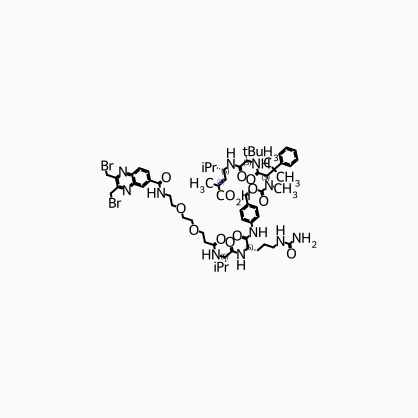 C/C(=C\[C@@H](NC(=O)[C@@H](NC(=O)[C@@H](N(C)C(=O)OCc1ccc(NC(=O)[C@H](CCCNC(N)=O)NC(=O)[C@@H](NC(=O)CCOCCOCCNC(=O)c2ccc3nc(CBr)c(CBr)nc3c2)C(C)C)cc1)C(C)(C)c1ccccc1)C(C)(C)C)C(C)C)C(=O)O